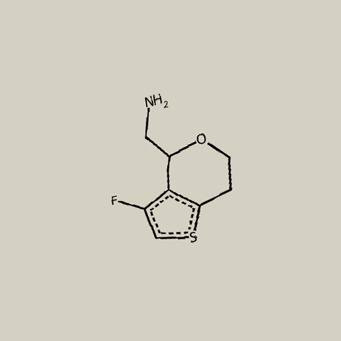 NCC1OCCc2scc(F)c21